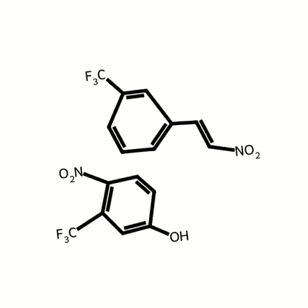 O=[N+]([O-])C=Cc1cccc(C(F)(F)F)c1.O=[N+]([O-])c1ccc(O)cc1C(F)(F)F